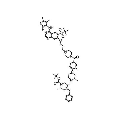 Cc1n[nH]c(Nc2ncnc3cc(OCCCN4CCN(C(=O)c5cnc(N6CCN(C[C@H]7CN(C(=O)OC(C)(C)C)[C@@H](C)CN7Cc7ccccc7)[C@H](C)C6)nc5)CC4)c(S(=O)(=O)C(C)(C)C)cc23)c1C